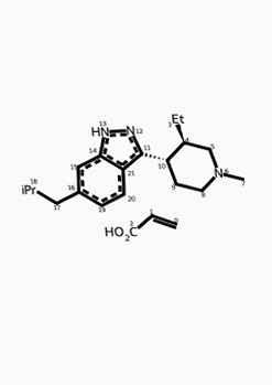 C=CC(=O)O.CC[C@H]1CN(C)CC[C@@H]1c1n[nH]c2cc(CC(C)C)ccc12